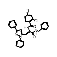 O=C(NCc1ccccc1)/C(=C/c1cc(-c2ccccc2)nn1-c1ccccc1)NC(=O)c1ccc(Cl)cc1Cl